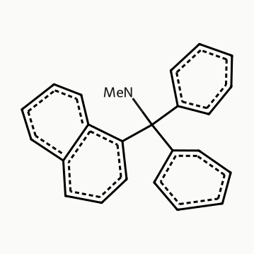 CNC(c1ccccc1)(c1ccccc1)c1cccc2ccccc12